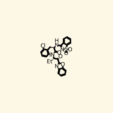 CC[C@H](NC(=O)[C@@H](Cc1ccccc1Cl)NC1=NS(=O)(=O)c2ccccc21)C(=O)c1nc2ccccc2o1